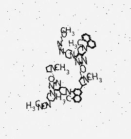 CN=C=NC1CCN(c2nc(OC[C@@H]3CCCN3C)nc3c2CCN(c2cc(C4C[C@@H](COc5nc6c(c(N7CCC(N=C=NCCOC)CC7)n5)CCN(c5cccc7cccc(C)c57)C6)N(C)C4)cc4cccc(C)c24)C3)CC1